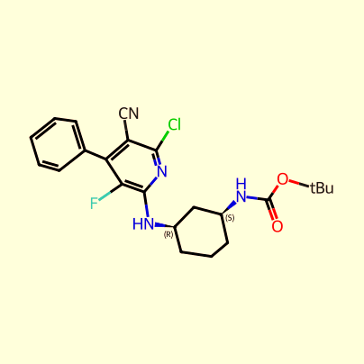 CC(C)(C)OC(=O)N[C@H]1CCC[C@@H](Nc2nc(Cl)c(C#N)c(-c3ccccc3)c2F)C1